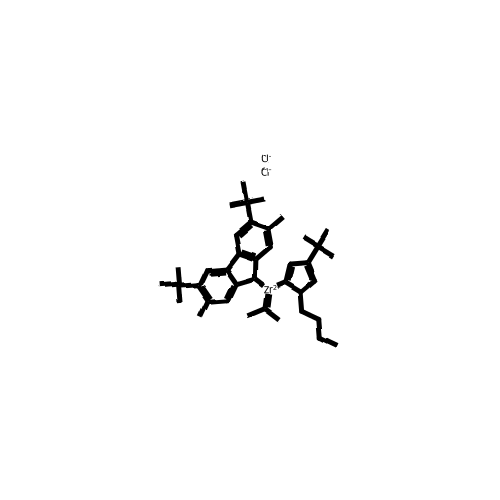 CCCCC1C=C(C(C)(C)C)C=[C]1[Zr+2](=[C](C)C)[CH]1c2cc(C)c(C(C)(C)C)cc2-c2cc(C(C)(C)C)c(C)cc21.[Cl-].[Cl-]